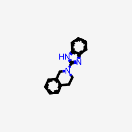 c1ccc2c(c1)CCN(c1nc3ccccc3[nH]1)C2